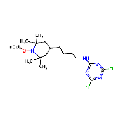 CCCCCCCCON1C(C)(C)CC(CCCCNc2nc(Cl)nc(Cl)n2)CC1(C)C